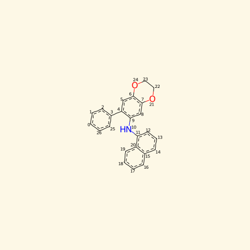 c1ccc(-c2cc3c(cc2Nc2cccc4ccccc24)OCCO3)cc1